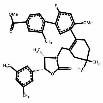 COC(=O)c1ccc(-c2cc(C3=C(CN4C(=O)O[C@H](c5cc(C)cc(C(F)(F)F)c5)[C@@H]4C)CC(C)(C)CC3)c(OC)cc2F)c(C)c1